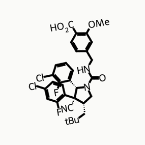 COc1cc(CNC(=O)N2C[C@H](CC(C)(C)C)[C@@](C#N)(c3ccc(Cl)cc3F)[C@@H]2c2cccc(Cl)c2F)ccc1C(=O)O